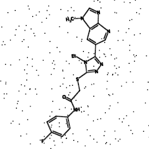 CCn1c(SCC(=O)Nc2ccc(F)cc2)nnc1-c1cnc2ncn(C)c2c1